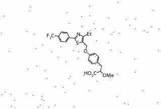 CCc1nc(-c2ccc(C(F)(F)F)cc2)sc1COc1ccc(CC(OC)C(=O)O)cc1